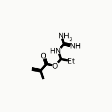 C=C(C)C(=O)OC(CC)NC(=N)N